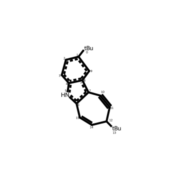 CC(C)(C)c1ccc2[nH]c3c(c2c1)C#CC(C(C)(C)C)C=C3